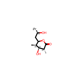 CC(C)[C@@H](O)CC1OC(=O)[C@H](C)[C@@H](O)[C@H]1C